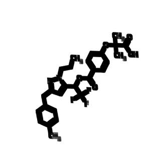 CCCn1nc(Cc2ccc(C)cc2)cc1C(OC(=O)c1ccc(OC(C)(C)C(=O)O)cc1)C(F)(F)F